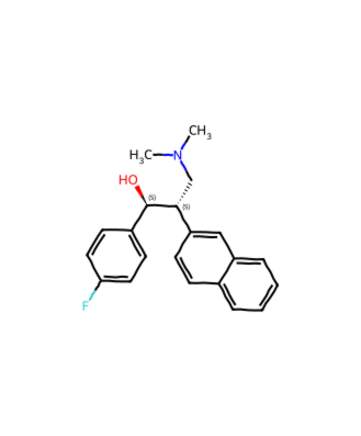 CN(C)C[C@H](c1ccc2ccccc2c1)[C@H](O)c1ccc(F)cc1